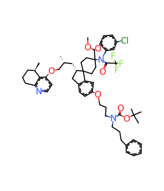 COC(=O)C1(N(C(=O)C(F)(F)F)c2cccc(Cl)c2)CCC2(CC1)c1cc(OCCCN(CCCc3ccccc3)C(=O)OC(C)(C)C)ccc1C[C@@H]2C[C@@H](C)COc1ccnc2c1[C@H](C)CCC2